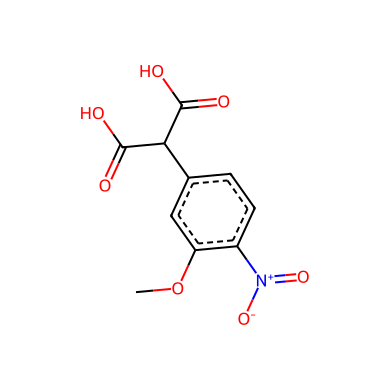 COc1cc(C(C(=O)O)C(=O)O)ccc1[N+](=O)[O-]